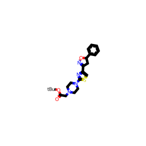 CC(C)(C)OC(=O)CN1CCN(c2nc(C3=NOC(c4ccccc4)C3)cs2)CC1